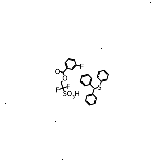 O=C(OCC(F)(F)S(=O)(=O)O)c1cccc(F)c1.c1ccc(SC(c2ccccc2)c2ccccc2)cc1